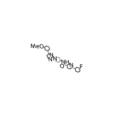 COc1cccc(-c2ccnc(N3CCC(NC(=O)c4ccc(-c5cccc(F)c5)nc4)CC3)n2)c1